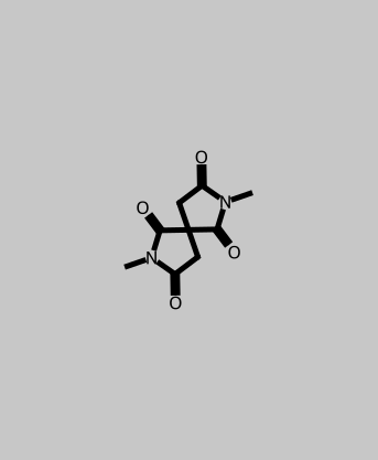 CN1C(=O)CC2(CC(=O)N(C)C2=O)C1=O